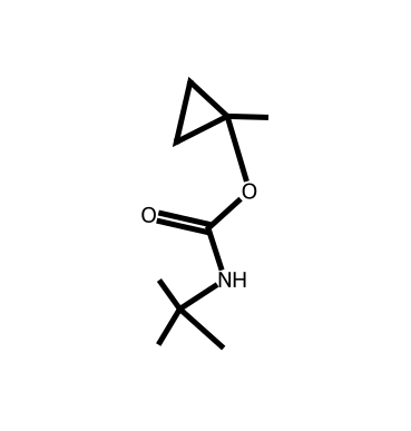 CC(C)(C)NC(=O)OC1(C)CC1